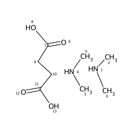 CNC.CNC.O=C(O)CCC(=O)O